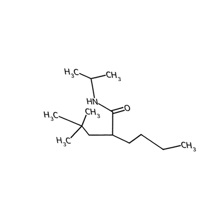 CCCCC(CC(C)(C)C)C(=O)NC(C)C